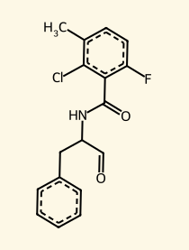 Cc1ccc(F)c(C(=O)NC(C=O)Cc2ccccc2)c1Cl